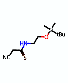 CC(C)(C)[Si](C)(C)OCCNC(=S)CC#N